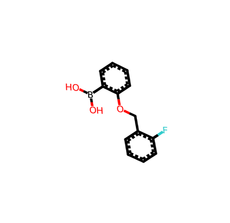 OB(O)c1ccccc1OCc1ccccc1F